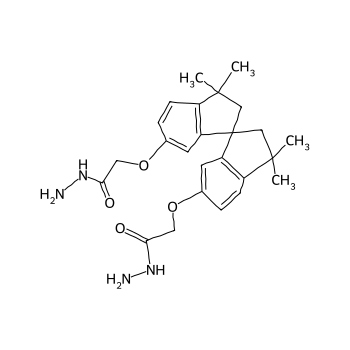 CC1(C)CC2(CC(C)(C)c3ccc(OCC(=O)NN)cc32)c2cc(OCC(=O)NN)ccc21